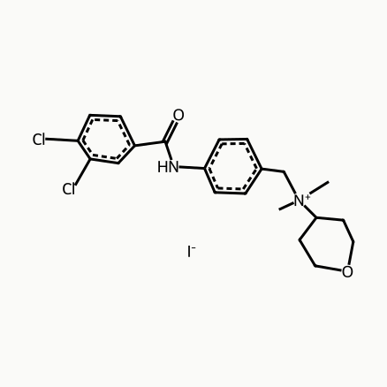 C[N+](C)(Cc1ccc(NC(=O)c2ccc(Cl)c(Cl)c2)cc1)C1CCOCC1.[I-]